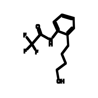 O=C(Nc1ccccc1CCCCO)C(F)(F)F